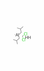 CC(C)[CH2][Al][CH2]C(C)C.ClCCl.[HH]